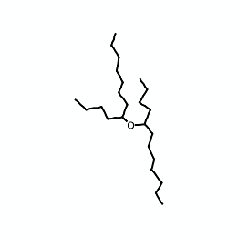 CCCCCCCC(CCCC)OC(CCCC)CCCCCCC